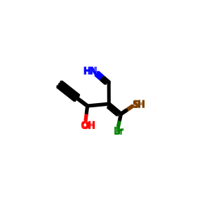 C#CC(O)/C(C=N)=C(/S)Br